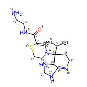 CCCCC(CC)C1(N2C=C(C(=O)NCCN)SCC2)CCN=C2NCNC21